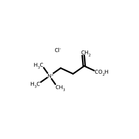 C=C(CC[N+](C)(C)C)C(=O)O.[Cl-]